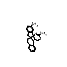 Bc1ccc2c(c1)C1(CCSC(N)=N1)C1(CCc3ccccc3CC1)C2